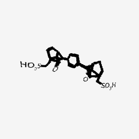 CC1(C)C2CCC1(CS(=O)(=O)O)C(=O)C2=c1ccc(=C2C(=O)C3(CS(=O)(=O)O)CCC2C3(C)C)cc1